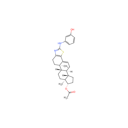 CC(=O)O[C@H]1CC[C@H]2[C@@H]3CC=C4c5sc(Nc6cccc(O)c6)nc5CC[C@]4(C)[C@H]3CC[C@]12C